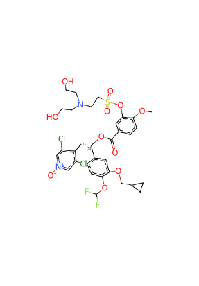 COc1ccc(C(=O)O[C@@H](Cc2c(Cl)c[n+]([O-])cc2Cl)c2ccc(OC(F)F)c(OCC3CC3)c2)cc1OS(=O)(=O)CCN(CCO)CCO